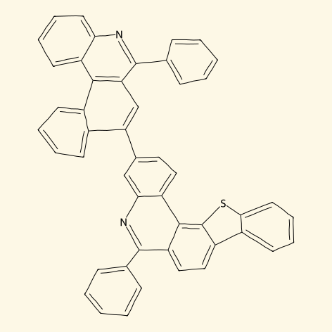 c1ccc(-c2nc3ccccc3c3c2cc(-c2ccc4c(c2)nc(-c2ccccc2)c2ccc5c6ccccc6sc5c24)c2ccccc23)cc1